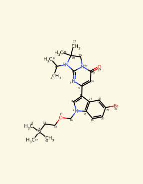 CC(C)N1c2nc(-c3cn(COCC[Si](C)(C)C)c4ccc(Br)cc34)cc(=O)n2CC1(C)C